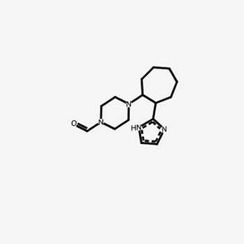 O=CN1CCN(C2CCCCCC2c2ncc[nH]2)CC1